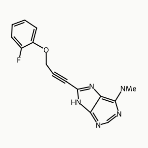 CNc1ncnc2[nH]c(C#CCOc3ccccc3F)nc12